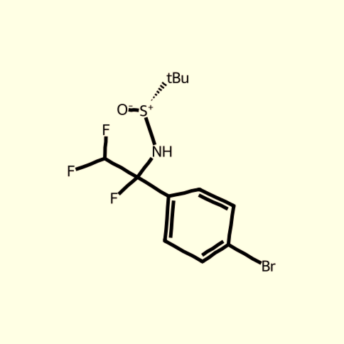 CC(C)(C)[S@@+]([O-])NC(F)(c1ccc(Br)cc1)C(F)F